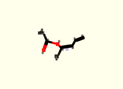 C=C/C=C(/CC)OC(=O)CCC